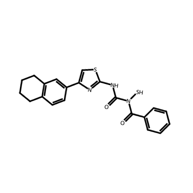 O=C(Nc1nc(-c2ccc3c(c2)CCCC3)cs1)N(S)C(=O)c1ccccc1